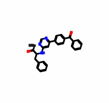 COC(=O)C(Cc1ccccc1)Nc1cc(-c2ccc(C(=O)c3ccccc3)cc2)ncn1